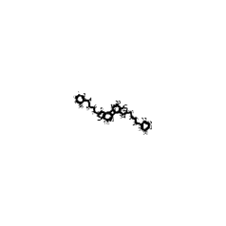 c1ccc(CCCCc2cc3c4c(ccc3s2)-c2c-4ccc3sc(CCCCc4ccccc4)cc23)cc1